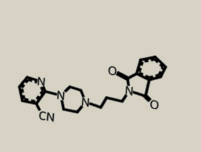 N#Cc1cccnc1N1CCN(CCCN2C(=O)c3ccccc3C2=O)CC1